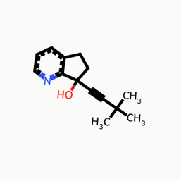 CC(C)(C)C#CC1(O)CCc2cccnc21